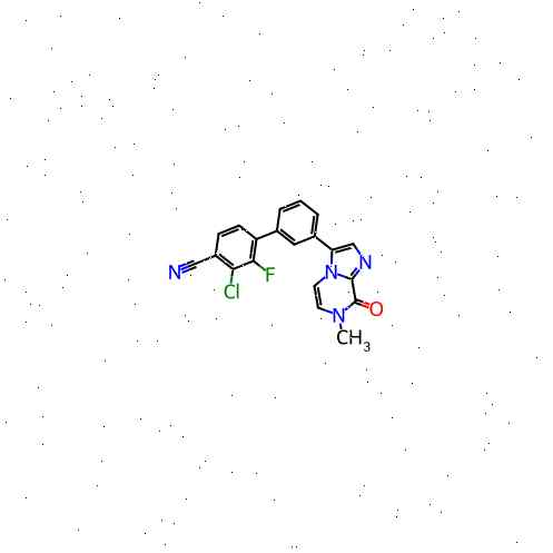 Cn1ccn2c(-c3cccc(-c4ccc(C#N)c(Cl)c4F)c3)cnc2c1=O